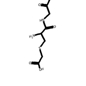 NC(CSCC(=O)O)C(=O)NCC(=O)O